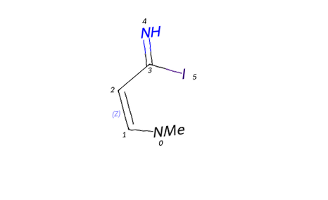 CN/C=C\C(=N)I